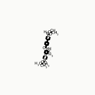 Cc1cc(N2CCN(C(=O)OC(C)(C)C)CC2)ccc1NC(=O)c1ccc(C2=CCN(C(=O)OC(C)(C)C)CC2)cc1